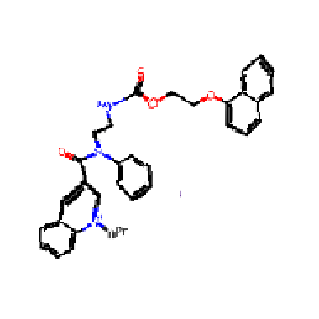 CCC[n+]1cc(C(=O)N(CCNC(=O)OCCOc2cccc3ccccc23)c2ccccc2)cc2ccccc21.[I-]